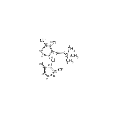 C[Si](C)(C)C#Cc1cccc(Cl)c1Cl.Clc1cccc(I)c1Cl